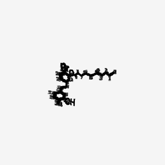 CCCCCCCCCCOc1cc(/C=C/c2ccc(C)c(O)c2)ccc1Br